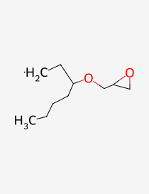 [CH2]CC(CCCC)OCC1CO1